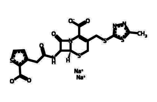 Cc1nnc(SCC2=C(C(=O)[O-])N3C(=O)C(NC(=O)Cc4ccsc4C(=O)[O-])[C@@H]3SC2)s1.[Na+].[Na+]